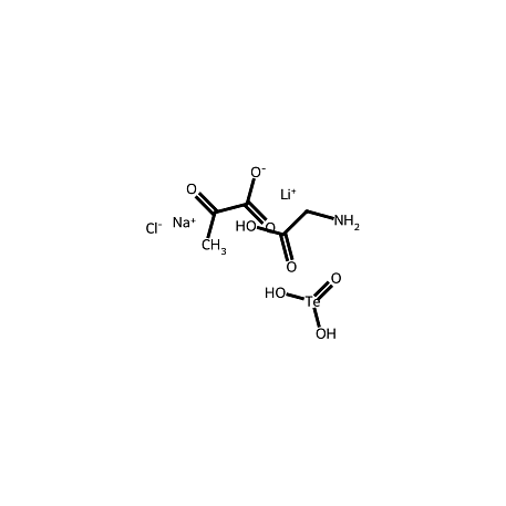 CC(=O)C(=O)[O-].NCC(=O)O.O=[Te](O)O.[Cl-].[Li+].[Na+]